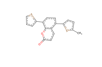 Cc1ccc(-c2ccc(-c3cccs3)c3oc(=O)ccc23)s1